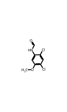 COc1cc(NC=O)c(Cl)cc1Cl